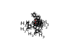 CC1=Cc2c(-c3cc(C)cc(C)c3)cc(-c3cc(C)cc(C)c3)cc2[CH]1[Zr]([Cl])([Cl])([CH]1C(C(C)C)=Cc2c(-c3ccccc3)cccc21)[SiH](C)C